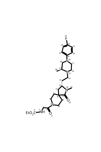 CCOC(=O)NCC(=O)N1CCC2(CC1)C[C@H](CCN1CCN(c3ccc(F)cc3)C[C@@H]1C)N(C)C2=O